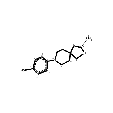 C[C@H]1CC2(CCN(c3ncc(S)nn3)CC2)CO1